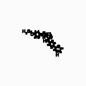 CCOc1ccc(-n2ncc(C(=O)Nc3ccc(C4CNCCO4)cc3)n2)cc1.Cl